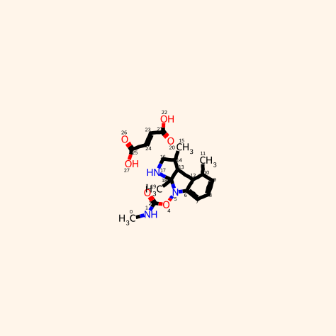 CNC(=O)ON1C2=CC=CC(C)C2C2C(C)CNC21C.O=C(O)C=CC(=O)O